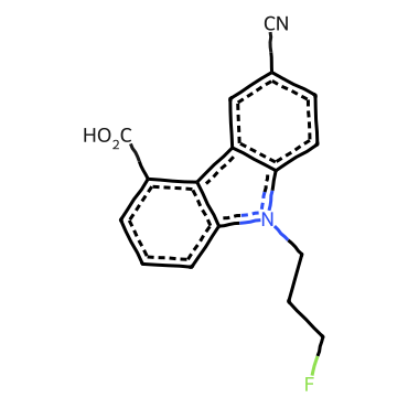 N#Cc1ccc2c(c1)c1c(C(=O)O)cccc1n2CCCF